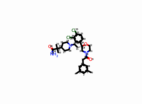 Cc1cc(C)cc(CC(=O)N2CCO[C@](CCN3CCC(C(C)(C)C(N)=O)CC3)(c3ccc(Cl)c(Cl)c3)C2)c1